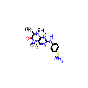 CCCC1C(=O)N(C)c2cnc(Nc3ccc(SN)cc3)nc2N1C